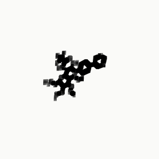 CSC1OC([C@H](NC(=O)C(F)(F)F)[C@H](C)Sc2ccc(-c3cncnc3)cc2)C(OSI)C(OSI)C1OSI